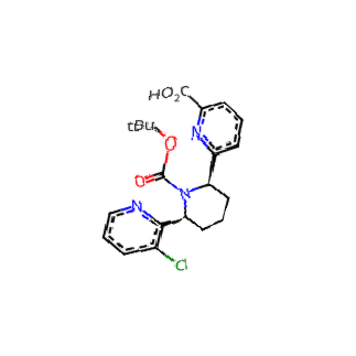 CC(C)(C)OC(=O)N1[C@@H](c2cccc(C(=O)O)n2)CCC[C@H]1c1ncccc1Cl